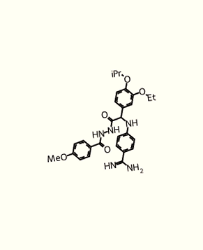 CCOc1cc(C(Nc2ccc(C(=N)N)cc2)C(=O)NNC(=O)c2ccc(OC)cc2)ccc1OC(C)C